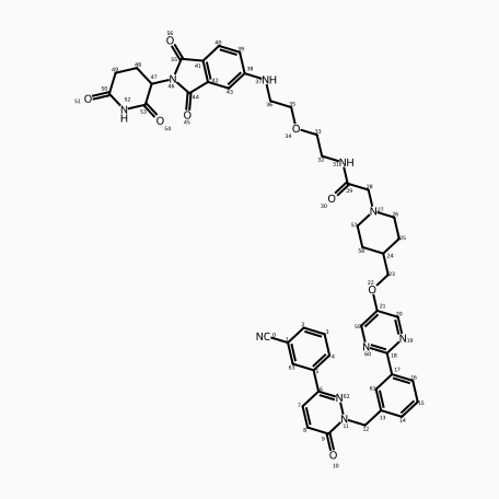 N#Cc1cccc(-c2ccc(=O)n(Cc3cccc(-c4ncc(OCC5CCN(CC(=O)NCCOCCNc6ccc7c(c6)C(=O)N(C6CCC(=O)NC6=O)C7=O)CC5)cn4)c3)n2)c1